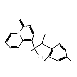 CC(c1ccc(Br)cc1Cl)C(O)(c1ccc(=O)n2ccccc12)C(F)(F)F